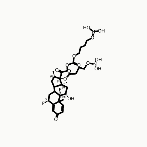 C[C@@H]1CC2C3C[C@H](F)C4=CC(=O)C=CC4(C)[C@@]3(F)[C@@H](O)C[C@]2(C)[C@@]1(OC(=O)CCCON(O)O)C(=O)COC(=O)OCCCCON(O)O